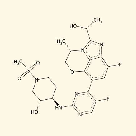 C[C@@H](O)c1nc2c(F)cc(-c3nc(N[C@@H]4CCN(S(C)(=O)=O)C[C@H]4O)ncc3F)c3c2n1[C@@H](C)CO3